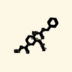 CC(C)(C)OC(=O)N1CC[C@@H](NC(=O)OCc2ccccc2)[C@@H](N=[N+]=[N-])C1